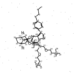 CCCCc1ccc(-c2cnn3c(N(COCC[Si](C)(C)C)COCC[Si](C)(C)C)cc([C@@H]4C[C@H]5CC[C@@H](C4)N5C(=O)OC(C)(C)C)nc23)cn1